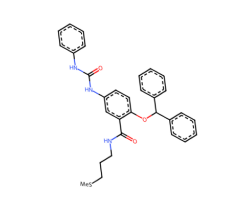 CSCCCNC(=O)c1cc(NC(=O)Nc2ccccc2)ccc1OC(c1ccccc1)c1ccccc1